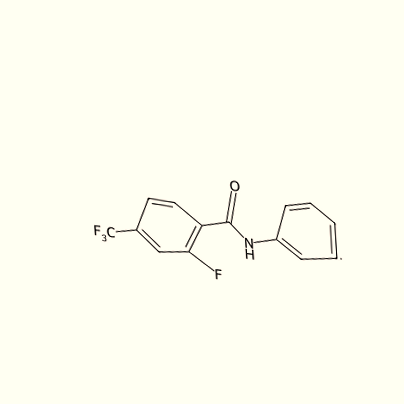 O=C(Nc1c[c]ccc1)c1ccc(C(F)(F)F)cc1F